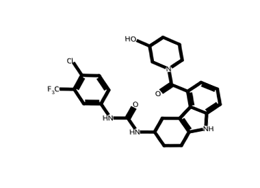 O=C(Nc1ccc(Cl)c(C(F)(F)F)c1)NC1CCc2[nH]c3cccc(C(=O)N4CCCC(O)C4)c3c2C1